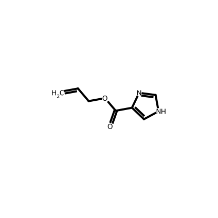 C=CCOC(=O)c1c[nH]cn1